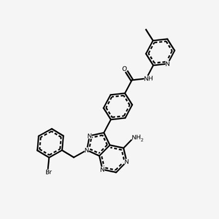 Cc1ccnc(NC(=O)c2ccc(-c3nn(Cc4ccccc4Br)c4ncnc(N)c34)cc2)c1